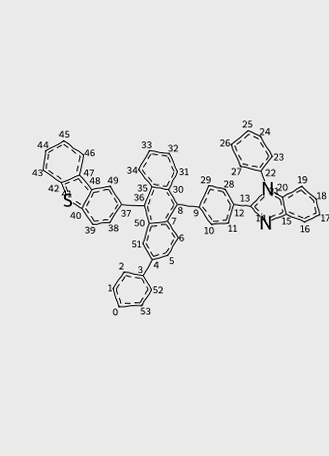 c1ccc(-c2ccc3c(-c4ccc(-c5nc6ccccc6n5-c5ccccc5)cc4)c4ccccc4c(-c4ccc5sc6ccccc6c5c4)c3c2)cc1